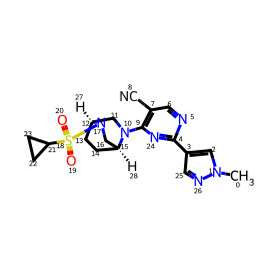 Cn1cc(-c2ncc(C#N)c(N3C[C@@H]4CC[C@H]3CN4S(=O)(=O)C3CC3)n2)cn1